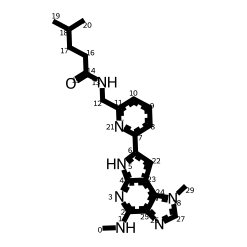 CNc1nc2[nH]c(-c3cccc(CNC(=O)CCC(C)C)n3)cc2c2c1ncn2C